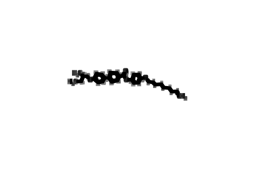 C=CCCCCCCCOc1ccc(OC(=O)c2ccc(-c3ccc(OCC(C)CC)cc3)cc2)cc1